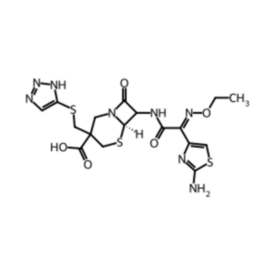 CCON=C(C(=O)NC1C(=O)N2CC(CSc3cnn[nH]3)(C(=O)O)CS[C@H]12)c1csc(N)n1